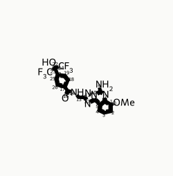 COc1cccc2c1nc(N)n1nc(CNC(=O)c3ccc(C(O)(C(F)(F)F)C(F)(F)F)cc3)nc21